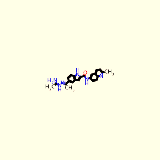 C=C(N)N/N=C(\C)c1ccc2[nH]c(C(=O)Nc3ccc4nc(C)ccc4c3)cc2c1